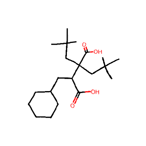 CC(C)(C)CC(CC(C)(C)C)(C(=O)O)C(CC1CCCCC1)C(=O)O